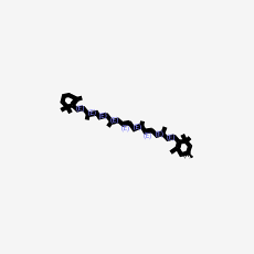 CC1=C(/C=C/C(C)=C/C=C/C(C)=C/C=C/C=C(C)/C=C/C=C(C)/C=C/C2=C(C)C[C@H](C)CC2(C)C)C(C)(C)CCC1